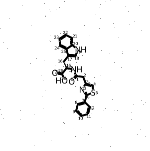 O=C(Cc1csc(-c2ccccc2)n1)N[C@H](Cc1c[nH]c2ccccc12)C(=O)O